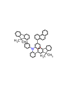 CC1(C)c2ccccc2-c2ccc(-c3ccccc3N(c3cccc(-c4cccc5c4C(C)(C)c4ccccc4-5)c3)c3cccc(-c4cccc5c4ccc4ccccc45)c3)cc21